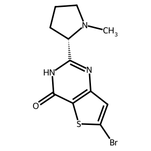 CN1CCC[C@H]1c1nc2cc(Br)sc2c(=O)[nH]1